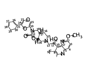 COc1ccc2ncc(F)c([C@@H](O)CN3CC[C@@H]4CN(C5=COC=C(C6=CC=CCC6)O5)C(=O)O[C@H]4C3)c2n1